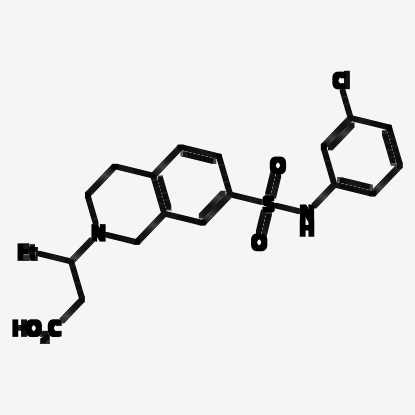 CCC(CC(=O)O)N1CCc2ccc(S(=O)(=O)Nc3cccc(Cl)c3)cc2C1